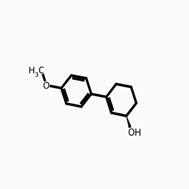 COc1ccc(C2=C[C@H](O)CCC2)cc1